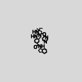 CCC1(C)CC(=O)N([C@H](c2cncnc2)c2cccc(C(=O)N[C@H]3CCc4ccccc43)c2)C(=N)N1